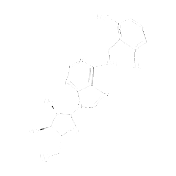 Cc1cccc(C)c1CNc1ncnc2c1ncn2C1O[C@H](CO)[C@@H](O)[C@H]1O